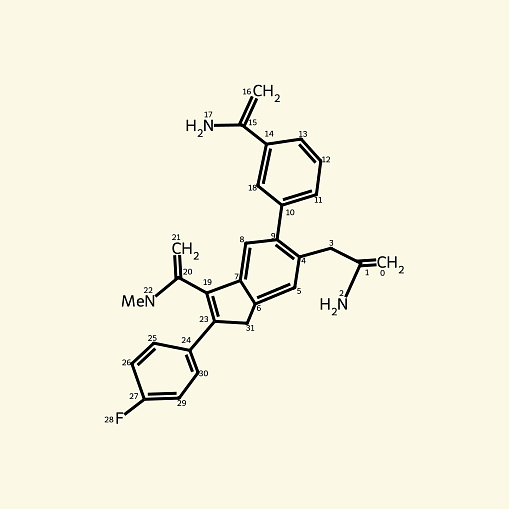 C=C(N)Cc1cc2c(cc1-c1cccc(C(=C)N)c1)C(C(=C)NC)=C(c1ccc(F)cc1)C2